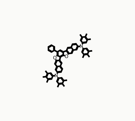 Cc1cc(N(c2cc(C)c(C)c(C)c2)c2ccc3cc4c(cc3c2)oc2c4cc(-c3ccccc3)c3oc4cc5cc(N(c6cc(C)c(C)c(C)c6)c6cc(C)c(C)c(C)c6)ccc5cc4c32)cc(C)c1C